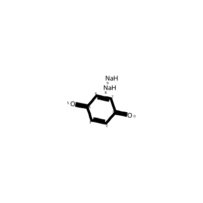 O=C1C=CC(=O)C=C1.[NaH].[NaH]